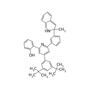 CC(C)(C)c1cc(-c2cc(-c3cccc(C4(C)C=c5ccccc5=CN4)c3)nc(-c3ccccc3O)c2)cc(C(C)(C)C)c1